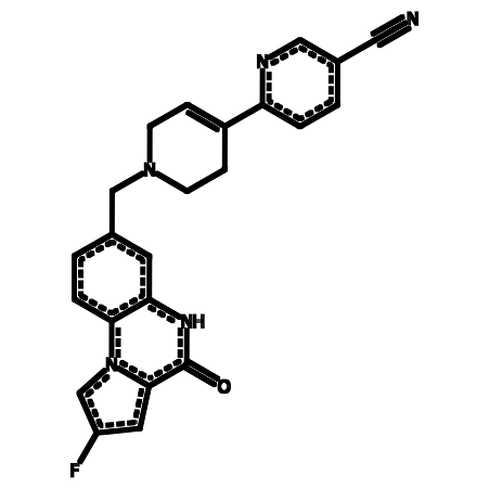 N#Cc1ccc(C2=CCN(Cc3ccc4c(c3)[nH]c(=O)c3cc(F)cn34)CC2)nc1